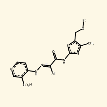 CCOCc1sc(NC(=O)/C(=N/Nc2ccncc2C(=O)O)C(C)=O)nc1C